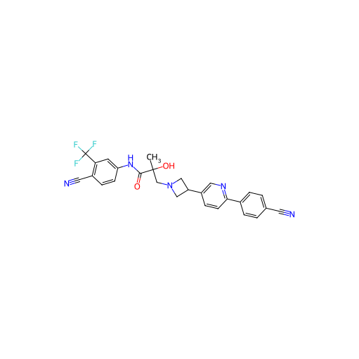 CC(O)(CN1CC(c2ccc(-c3ccc(C#N)cc3)nc2)C1)C(=O)Nc1ccc(C#N)c(C(F)(F)F)c1